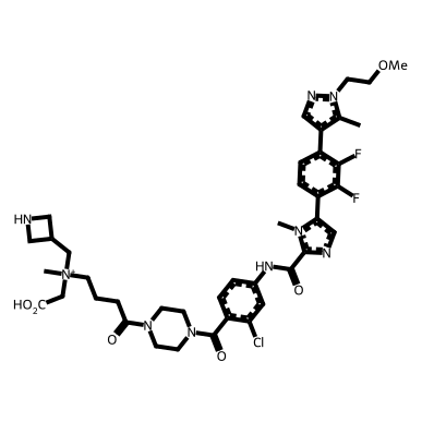 COCCn1ncc(-c2ccc(-c3cnc(C(=O)Nc4ccc(C(=O)N5CCN(C(=O)CCC[N+](C)(CC(=O)O)CC6CNC6)CC5)c(Cl)c4)n3C)c(F)c2F)c1C